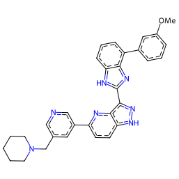 COc1cccc(-c2cccc3[nH]c(-c4n[nH]c5ccc(-c6cncc(CN7CCCCC7)c6)nc45)nc23)c1